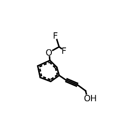 OCC#Cc1cccc(OC(F)F)c1